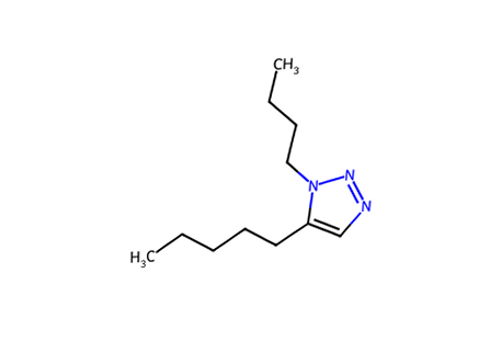 CCCCCc1cnnn1CCCC